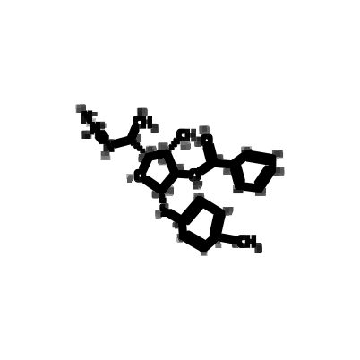 Cc1ccc(S[C@@H]2O[C@H](C(C)N=[N+]=[N-])[C@H](C)C2OC(=O)c2ccccc2)cc1